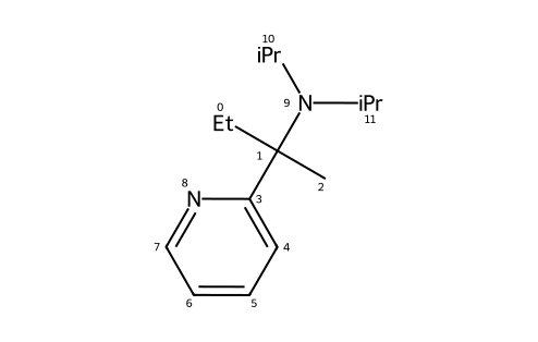 CCC(C)(c1ccccn1)N(C(C)C)C(C)C